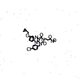 Nn1c(=O)n(CCC(=O)N=O)c(=O)n(Cc2ccc(Cl)cc2)/c1=N/c1ccc(OCC2CC2)cc1